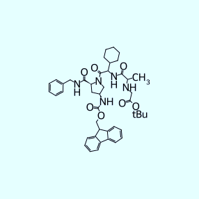 CC(NCC(=O)OC(C)(C)C)C(=O)NC(C(=O)N1C[C@@H](NC(=O)OCC2c3ccccc3-c3ccccc32)C[C@H]1C(=O)NCc1ccccc1)C1CCCCC1